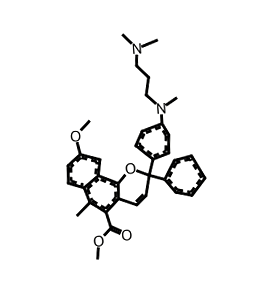 COC(=O)c1c2c(c3cc(OC)ccc3c1C)OC(c1ccccc1)(c1ccc(N(C)CCCN(C)C)cc1)C=C2